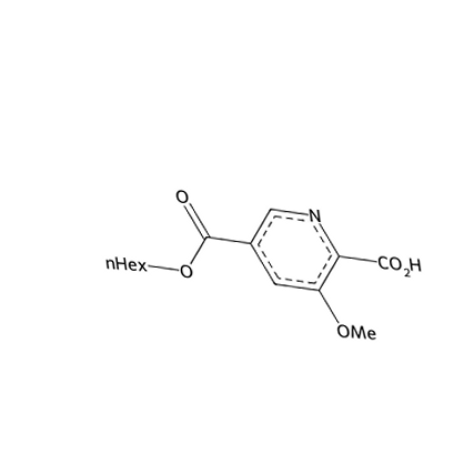 CCCCCCOC(=O)c1cnc(C(=O)O)c(OC)c1